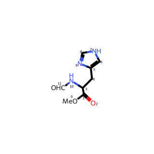 COC(=O)C(Cc1c[nH]cn1)NC=O